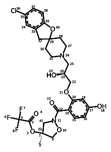 C[C@@]1(OC(=O)C(F)(F)F)CON(C(=O)c2ccc(O)cc2OC[C@@H](O)CN2CCC3(CC2)Cc2cc(Cl)ccc2O3)C1